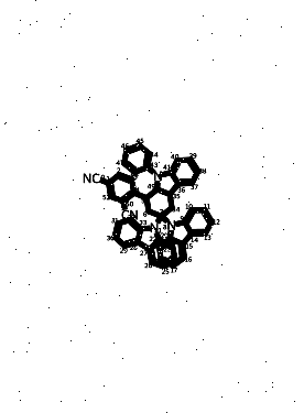 N#Cc1ccc(C2CC(n3c4ccccc4c4ccccc43)(n3c4ccccc4c4ccccc43)CC3c4ccccc4N(c4ccccc4)C23)c(C#N)c1